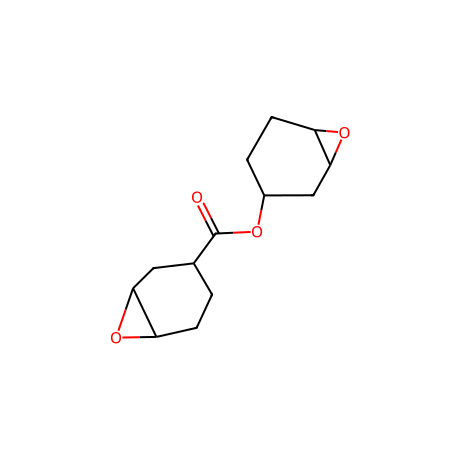 O=C(OC1CCC2OC2C1)C1CCC2OC2C1